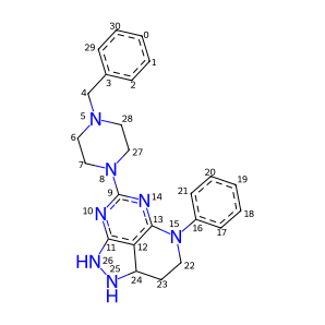 c1ccc(CN2CCN(c3nc4c5c(n3)N(c3ccccc3)CCC5NN4)CC2)cc1